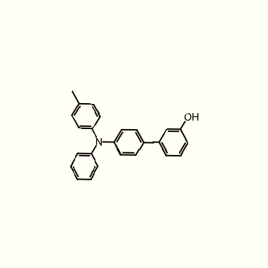 Cc1ccc(N(c2ccccc2)c2ccc(-c3cccc(O)c3)cc2)cc1